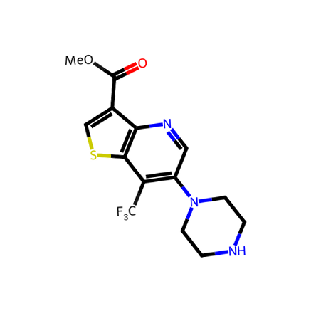 COC(=O)c1csc2c(C(F)(F)F)c(N3CCNCC3)cnc12